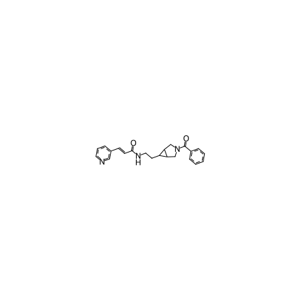 O=C(/C=C/c1cccnc1)NCCC1C2CN(C(=O)c3ccccc3)CC12